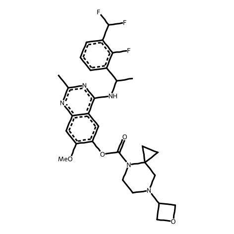 COc1cc2nc(C)nc(NC(C)c3cccc(C(F)F)c3F)c2cc1OC(=O)N1CCN(C2COC2)CC12CC2